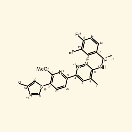 COc1nc(-c2cc(C)c(N[C@@H](C)c3ccc(F)c(F)c3)nn2)ccc1-n1cnc(C)c1